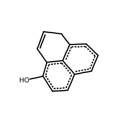 Oc1ccc2cccc3c2c1C=CC3